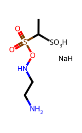 CC(S(=O)(=O)O)S(=O)(=O)ONCCN.[NaH]